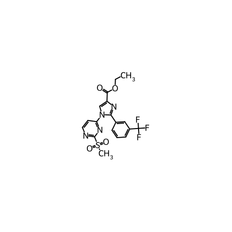 CCOC(=O)c1cn(-c2ccnc(S(C)(=O)=O)n2)c(-c2cccc(C(F)(F)F)c2)n1